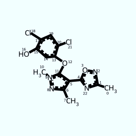 Cc1noc(-c2c(C)nn(C)c2Oc2cc(O)c(Cl)cc2Cl)n1